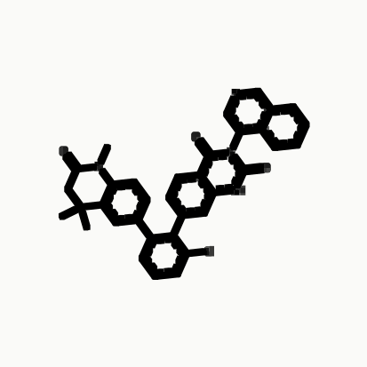 CN1C(=O)CC(C)(C)c2cc(-c3cccc(Cl)c3-c3ccc4c(=O)n(-c5cncc6ccccc56)c(=O)[nH]c4c3)ccc21